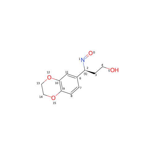 O=N[C@@H](CCO)c1ccc2c(c1)OCCO2